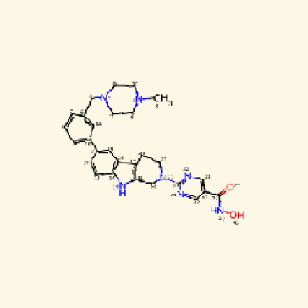 CN1CCN(Cc2cccc(-c3ccc4[nH]c5c(c4c3)CCN(c3ncc(C(=O)NO)cn3)C5)c2)CC1